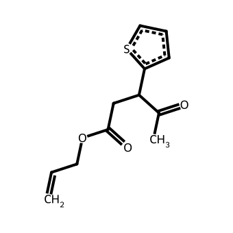 C=CCOC(=O)CC(C(C)=O)c1cccs1